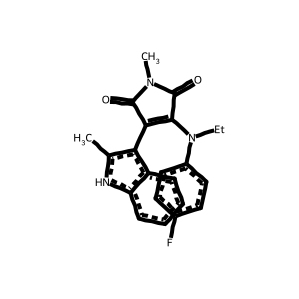 CCN(C1=C(c2c(C)[nH]c3ccccc23)C(=O)N(C)C1=O)c1ccc(F)cc1